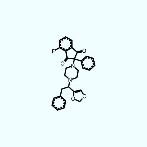 O=C1c2cccc(F)c2C(=O)C1(c1ccccc1)N1CCN(C(Cc2ccccc2)C2=COCO2)CC1